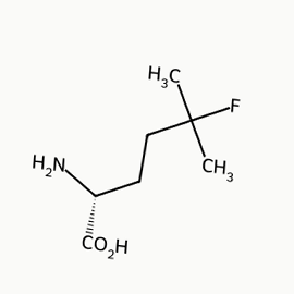 CC(C)(F)CC[C@@H](N)C(=O)O